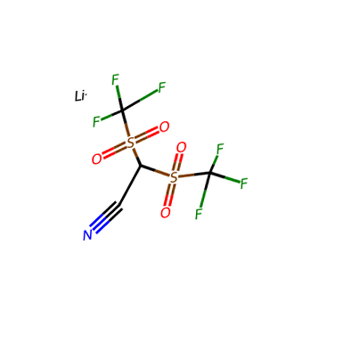 N#CC(S(=O)(=O)C(F)(F)F)S(=O)(=O)C(F)(F)F.[Li]